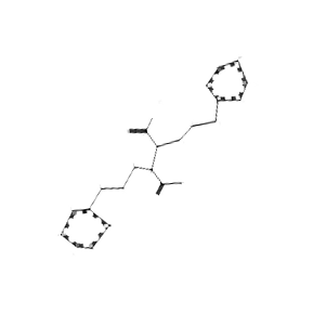 O=C(O)C(CCCc1ccccc1)C(CCCc1ccccc1)C(=O)O